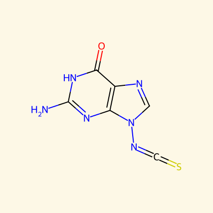 Nc1nc2c(ncn2N=C=S)c(=O)[nH]1